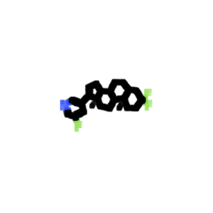 C[C@]12CCC(F)(F)CC1CCC1C2CC[C@]2(C)C(c3cncc(F)c3)=CCC12